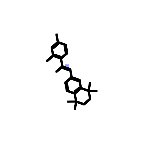 C/C(=C\c1ccc2c(c1)C(C)(C)CCC2(C)C)c1ccc(C)cc1C